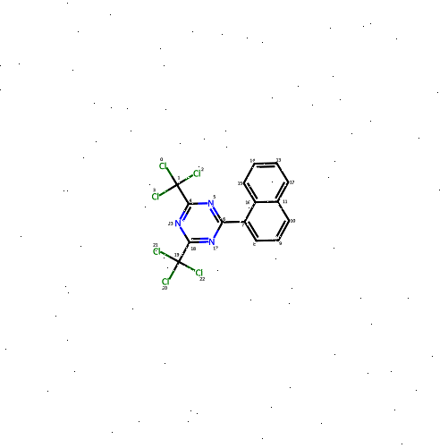 ClC(Cl)(Cl)c1nc(-c2cccc3ccccc23)nc(C(Cl)(Cl)Cl)n1